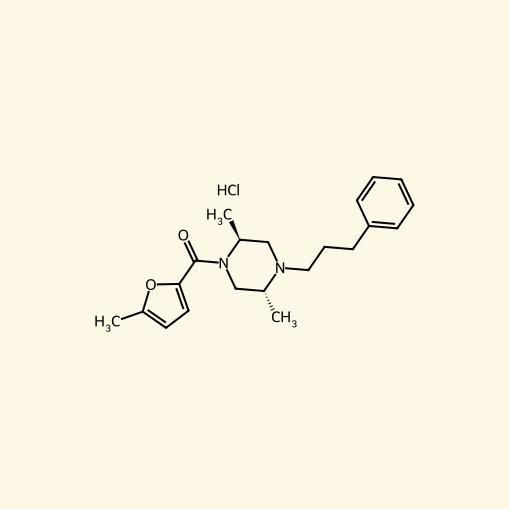 Cc1ccc(C(=O)N2C[C@@H](C)N(CCCc3ccccc3)C[C@@H]2C)o1.Cl